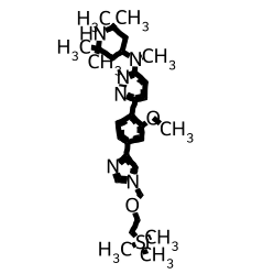 COc1cc(-c2cn(COCC[Si](C)(C)C)cn2)ccc1-c1ccc(N(C)C2CC(C)(C)NC(C)(C)C2)nn1